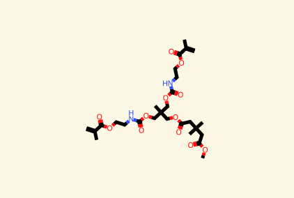 C=C(C)C(=O)OCCNC(=O)OCC(C)(COC(=O)CC(C)(C)CC(=O)OC)COC(=O)NCCOC(=O)C(=C)C